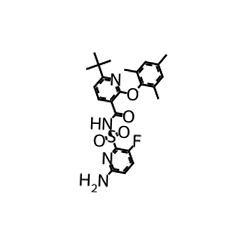 Cc1cc(C)c(Oc2nc(C(C)(C)C)ccc2C(=O)NS(=O)(=O)c2nc(N)ccc2F)c(C)c1